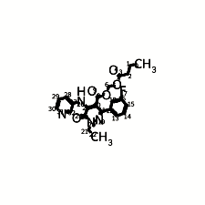 CCCC(=O)OCOC(=O)c1c(-c2cccc(F)c2)nn(CC)c(=O)c1Nc1cccnc1